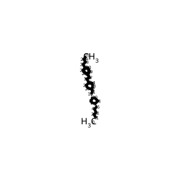 CCCCCC[C@H]1CC[C@H](CCC2CC=C(CCc3ccc(CCCC)cc3)CC2)CC1